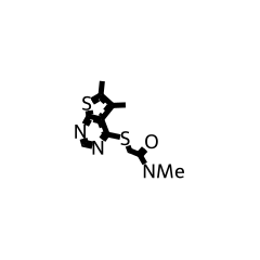 CNC(=O)CSc1ncnc2sc(C)c(C)c12